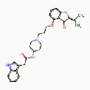 CC(C)=C1Oc2cccc(OCCCN3CCC(NC(=O)Cc4c[nH]c5ccccc45)CC3)c2C1=O